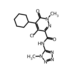 Cn1nnnc1NC(=O)c1nn(C)c(=O)c(C2CCCCC2)c1Cl